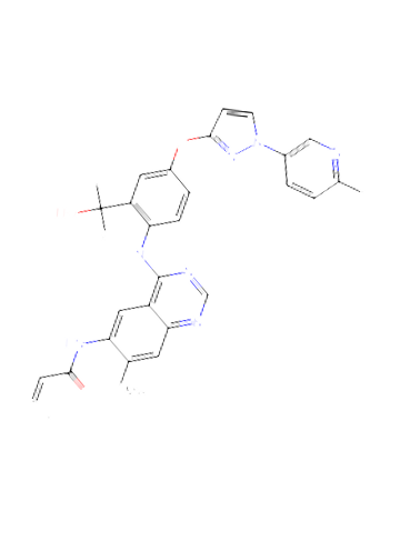 C=CC(=O)Nc1cc2c(Nc3ccc(Oc4ccn(-c5ccc(C)nc5)n4)cc3C(C)(C)O)ncnc2cc1OC